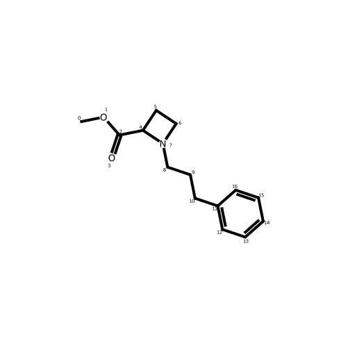 COC(=O)C1CCN1CCCc1ccccc1